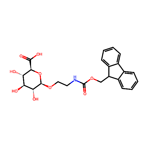 O=C(NCCO[C@@H]1O[C@H](C(=O)O)[C@@H](O)[C@H](O)[C@H]1O)OCC1c2ccccc2-c2ccccc21